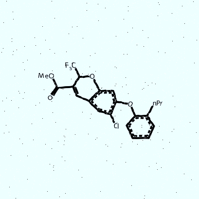 CCCc1ccccc1Oc1cc2c(cc1Cl)C=C(C(=O)OC)C(C(F)(F)F)O2